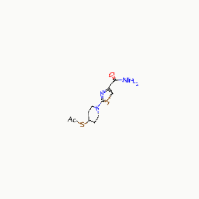 CC(=O)SC1CCN(c2nc(C(N)=O)cs2)CC1